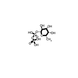 C[C@@H]1O[C@H](OP(=O)(O)OP(=O)(O)O)[C@@H](O)[C@H](O)[C@@H]1O